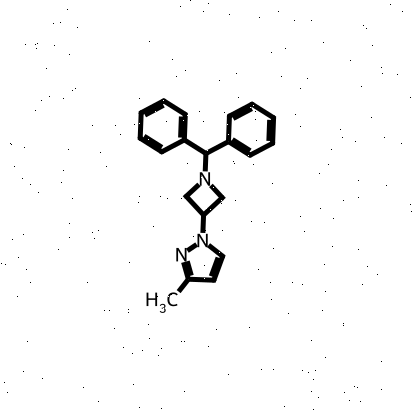 Cc1ccn(C2CN(C(c3ccccc3)c3ccccc3)C2)n1